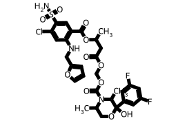 CC(CC(=O)OCOC(=O)N1C(C)COC(O)(c2cc(F)cc(F)c2)C1C)OC(=O)c1cc(S(N)(=O)=O)c(Cl)cc1NCc1ccco1